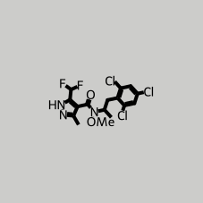 CON(C(=O)c1c(C)n[nH]c1C(F)F)C(C)Cc1c(Cl)cc(Cl)cc1Cl